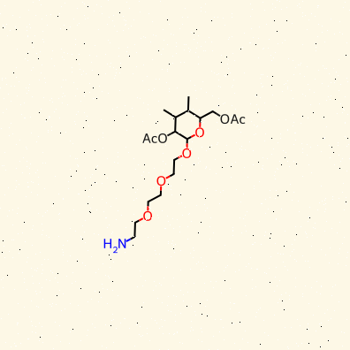 CC(=O)OCC1OC(OCCOCCOCCN)C(OC(C)=O)C(C)C1C